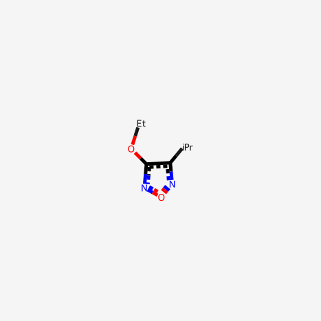 CCOc1nonc1C(C)C